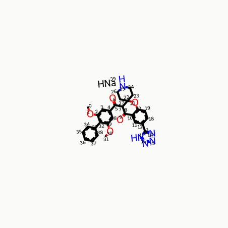 COc1cc(C(=O)C2C(=O)c3cc(-c4nnn[nH]4)ccc3OC23CCNCC3)cc(OC)c1-c1ccccc1.[NaH]